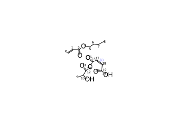 C=CC(=O)OCCCC.CC(O)C(=O)OC(=O)/C=C\C(=O)O